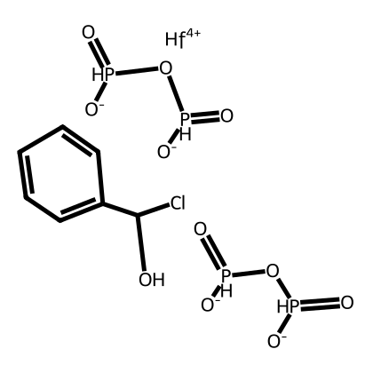 O=[PH]([O-])O[PH](=O)[O-].O=[PH]([O-])O[PH](=O)[O-].OC(Cl)c1ccccc1.[Hf+4]